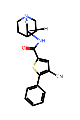 N#Cc1cc(C(=O)N[C@H]2CN3CCC2CC3)sc1-c1ccccc1